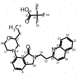 CCC1CN(c2cccc3c2C(=O)N(CCc2ccc4ccccc4n2)C3)CCO1.O=C(O)C(F)(F)F